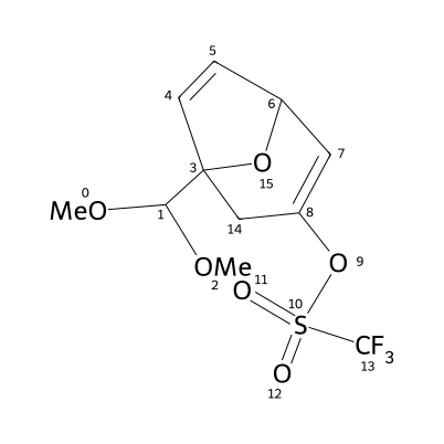 COC(OC)C12C=CC(C=C(OS(=O)(=O)C(F)(F)F)C1)O2